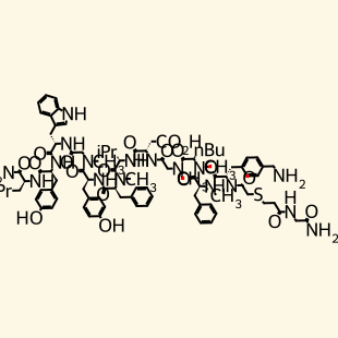 CCCC[C@@H](C(=O)N(C)CC(=O)N[C@@H](CC(=O)O)C(=O)N[C@H](C(=O)N(C)[C@@H](Cc1ccccc1)C(=O)N[C@@H](Cc1ccc(O)cc1)C(=O)N(C)CC(=O)N[C@@H](Cc1c[nH]c2ccccc12)C(=O)N[C@@H](Cc1ccc(O)cc1)C(=O)N[C@@H](CC(C)C)C(N)=O)C(C)C)N(C)C(=O)[C@H](Cc1ccccc1)N(C)C(=O)[C@H](Cc1ccc(CN)cc1)NC(=O)CSCCC(=O)NCC(N)=O